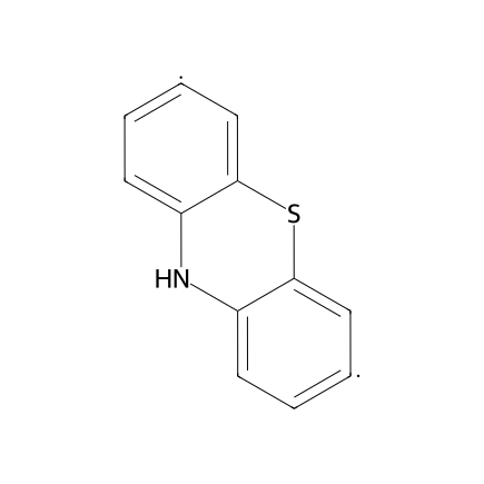 [c]1ccc2c(c1)Sc1c[c]ccc1N2